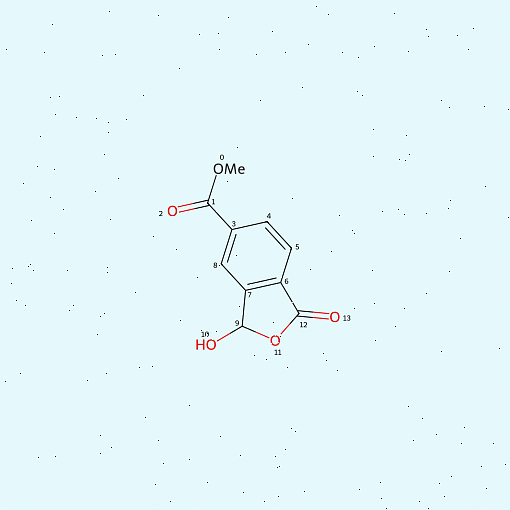 COC(=O)c1ccc2c(c1)C(O)OC2=O